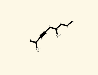 CCCC(O)CC#CC(C)O